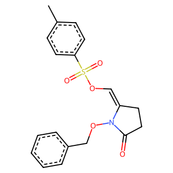 Cc1ccc(S(=O)(=O)OC=C2CCC(=O)N2OCc2ccccc2)cc1